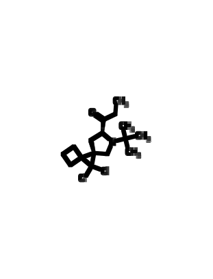 CCC(=O)[C@@H]1C[C@@]2(CN1C(C)(C)C)C(Cl)(Cl)C21CCC1